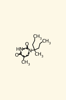 CCCC(C)(CCC)n1cc(C)c(=O)[nH]c1=O